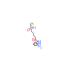 Nc1ccccc1NC(=O)CCCCCC(=O)NCC1CC=CS1